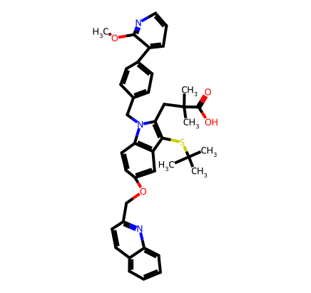 COc1ncccc1-c1ccc(Cn2c(CC(C)(C)C(=O)O)c(SC(C)(C)C)c3cc(OCc4ccc5ccccc5n4)ccc32)cc1